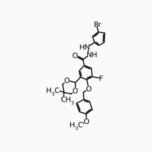 COc1ccc(COc2c(F)cc(C(=O)NNc3cccc(Br)c3)cc2C2OCC(C)(C)CO2)cc1